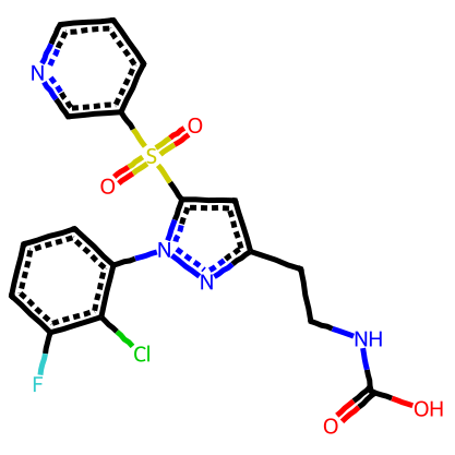 O=C(O)NCCc1cc(S(=O)(=O)c2cccnc2)n(-c2cccc(F)c2Cl)n1